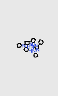 C1=CC(Nc2ncc(-c3ccccc3)nc2Nn2c3ccccc3c3ccc4c(c5ccccc5n4-c4ccccc4)c32)=CCC1